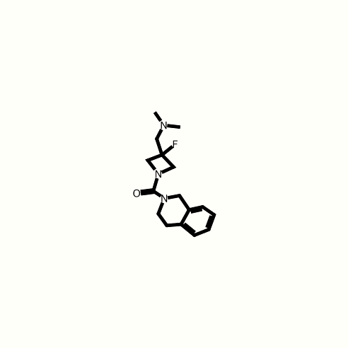 CN(C)CC1(F)CN(C(=O)N2CCc3ccccc3C2)C1